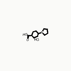 Cl.O=C(O)C1CCC(N2CCCC2)CC1